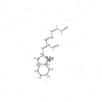 C=C\C=C/C=C/C(C=C)=C/c1cc2ccccc2[nH]1